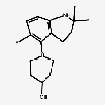 CC1(C)CCc2c(ccc(F)c2N2CCC(O)CC2)N1